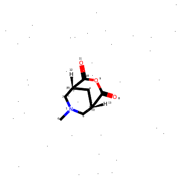 CN1C[C@H]2C[C@@H](C1)C(=O)OC2=O